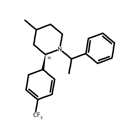 CC1CCN(C(C)c2ccccc2)[C@@H](C2C=CC(C(F)(F)F)=CC2)C1